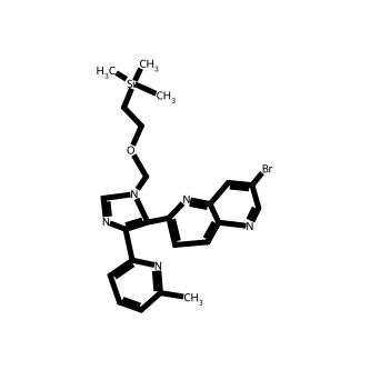 Cc1cccc(-c2ncn(COCC[Si](C)(C)C)c2-c2ccc3ncc(Br)cc3n2)n1